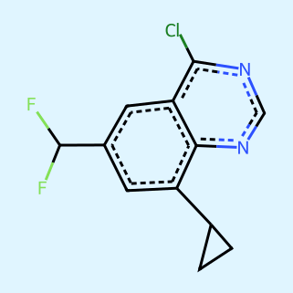 FC(F)c1cc(C2CC2)c2ncnc(Cl)c2c1